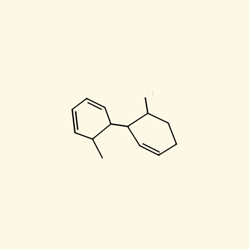 CC1C=CC=CC1C1C=CCCC1O